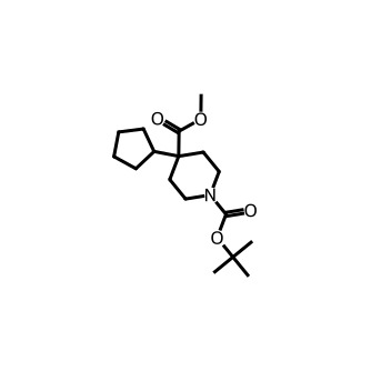 COC(=O)C1(C2CCCC2)CCN(C(=O)OC(C)(C)C)CC1